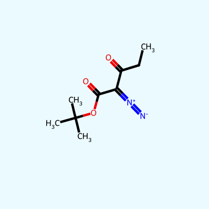 CCC(=O)C(=[N+]=[N-])C(=O)OC(C)(C)C